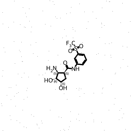 N[C@@H]1[C@@H](O)[C@@H](O)C[C@@H]1C(=O)Nc1cccc(S(=O)(=O)C(F)(F)F)c1